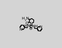 N[C@H]1CCCN(P(=O)(NCc2cccnc2)NCc2cccnc2)C1=O